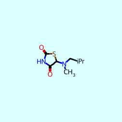 CC(C)CN(C)C1SC(=O)NC1=O